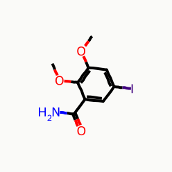 COc1cc(I)cc(C(N)=O)c1OC